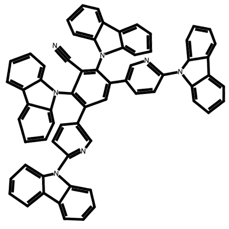 N#Cc1c(-n2c3ccccc3c3ccccc32)c(-c2ccc(-n3c4ccccc4c4ccccc43)nc2)cc(-c2ccc(-n3c4ccccc4c4ccccc43)nc2)c1-n1c2ccccc2c2ccccc21